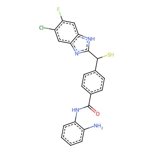 Nc1ccccc1NC(=O)c1ccc(C(S)c2nc3cc(Cl)c(F)cc3[nH]2)cc1